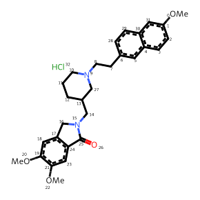 COc1ccc2cc(CCN3CCCC(CN4Cc5cc(OC)c(OC)cc5C4=O)C3)ccc2c1.Cl